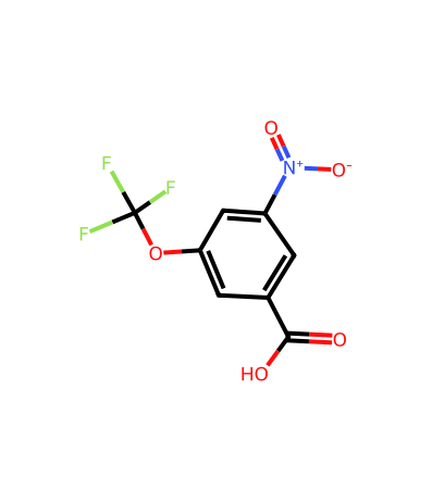 O=C(O)c1cc(OC(F)(F)F)cc([N+](=O)[O-])c1